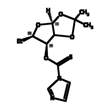 CC[C@H]1O[C@H]2OC(C)(C)OC2[C@H]1OC(=S)n1ccnc1